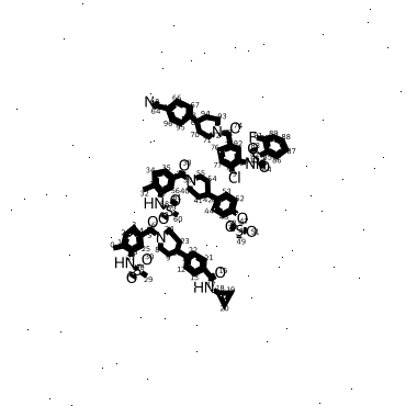 Cc1ccc(C(=O)N2CCC(c3ccc(C(=O)NC4CC4)cc3)CC2)cc1NS(C)(=O)=O.Cc1ccc(C(=O)N2CCC(c3ccc(OS(C)(=O)=O)cc3)CC2)cc1NS(C)(=O)=O.N#Cc1ccc(C2CCN(C(=O)c3ccc(Cl)c(NS(=O)(=O)c4ccccc4F)c3)CC2)cc1